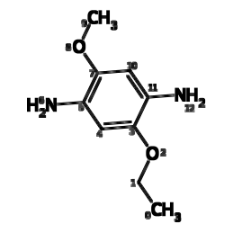 CCOc1cc(N)c(OC)cc1N